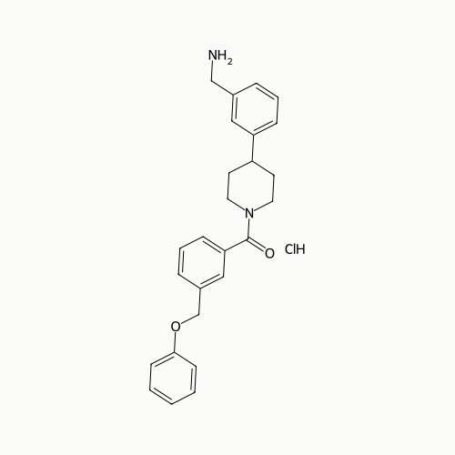 Cl.NCc1cccc(C2CCN(C(=O)c3cccc(COc4ccccc4)c3)CC2)c1